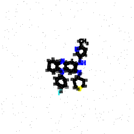 Cc1ccc(Nc2cc3nc4ccccc4n(-c4ccc(F)cc4)c-3c/c2=N\C2CCSCC2)cn1